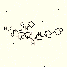 CC(=O)NCCC1(C)N=C(Nc2ccc(N3CCC(N4CCOCC4)CC3)nc2)N=C1N(C=O)C1CCCC1